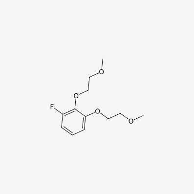 COCCOc1cccc(F)c1OCCOC